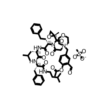 CC(=O)Oc1ccc(C[N+]2(CC(=O)N(C(=O)[C@@]3(C)CO3)[C@@H](CCc3ccccc3)C(=O)N[C@@H](CC(C)C)C(=O)N[C@@H](Cc3ccccc3)C(=O)NCCC(C)C)CCOCC2)cc1C=O.CS(=O)(=O)[O-]